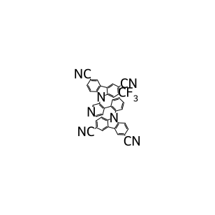 N#Cc1ccc2c(c1)c1cc(C#N)ccc1n2-c1ccc(C(F)(F)F)cc1-c1ccncc1-n1c2ccc(C#N)cc2c2cc(C#N)ccc21